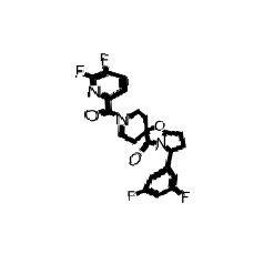 O=C(c1ccc(F)c(F)n1)N1CCC2(CC1)OC1CCC(c3cc(F)cc(F)c3)N1C2=O